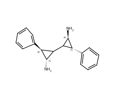 N[C@@H]1C(C2[C@H](N)[C@H]2c2ccccc2)[C@H]1c1ccccc1